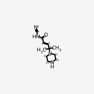 CC(C)(C=CC(=O)NC#N)N1CCNCC1